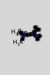 Cc1ccc(-c2cc(-c3ccc(-c4ccc(-n5c6ccc(-n7c8ccccc8c8ccccc87)cc6c6cc(-n7c8ccccc8c8ccccc87)ccc65)cc4)cc3C)nc(-c3ccc(C)cc3)n2)cc1